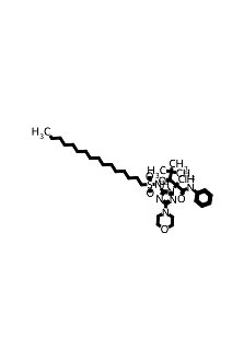 CCCCCCCCCCCCCCCCS(=O)(=O)Nc1nc(N2CCOCC2)nn1C(Cl)(C(=O)Nc1ccccc1)C(=O)C(C)(C)C